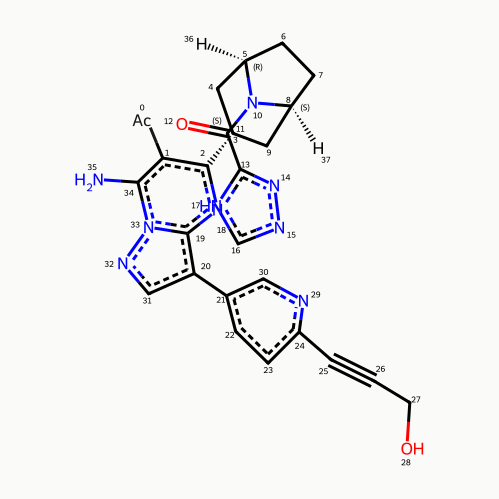 CC(=O)c1c([C@@H]2C[C@H]3CC[C@@H](C2)N3C(=O)c2nnc[nH]2)nc2c(-c3ccc(C#CCO)nc3)cnn2c1N